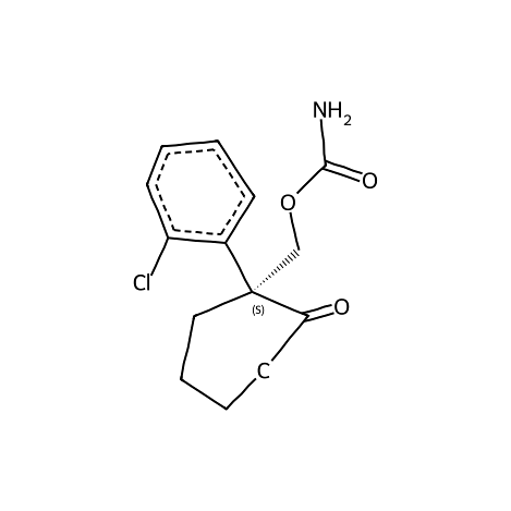 NC(=O)OC[C@@]1(c2ccccc2Cl)CCCCC1=O